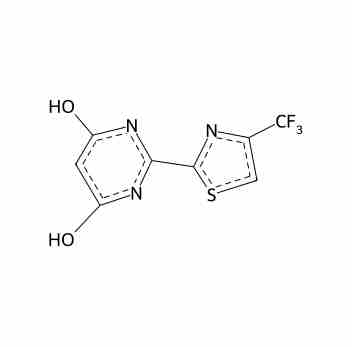 Oc1cc(O)nc(-c2nc(C(F)(F)F)cs2)n1